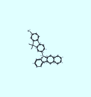 CC1(C)c2cc(Br)ccc2-c2ccc(-n3c4c(c5cc6ccccc6cc53)=CC=C=C=4)cc21